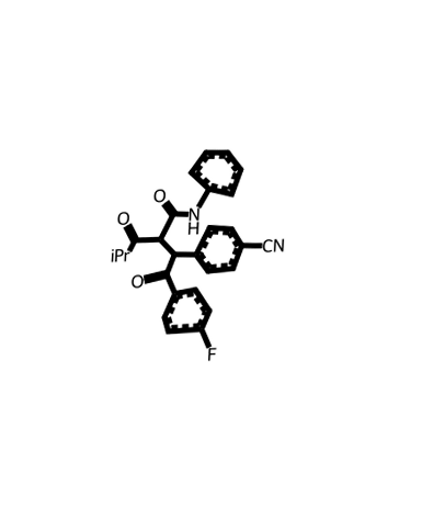 CC(C)C(=O)C(C(=O)Nc1ccccc1)C(C(=O)c1ccc(F)cc1)c1ccc(C#N)cc1